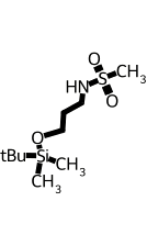 CC(C)(C)[Si](C)(C)OCCCNS(C)(=O)=O